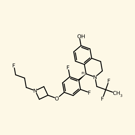 CC(F)(F)CN1CCc2cc(O)ccc2[C@@H]1c1c(F)cc(OC2CN(CCCF)C2)cc1F